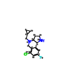 Fc1ccc(CN(CC2CC2)C2CCNC2)c(Cl)c1